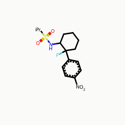 CC(C)S(=O)(=O)NC1CCCCC1(F)c1ccc([N+](=O)[O-])cc1